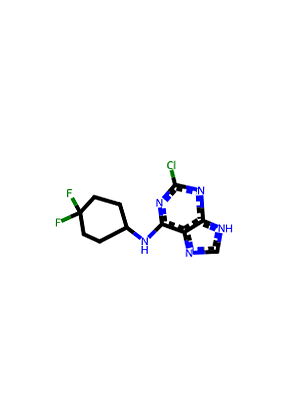 FC1(F)CCC(Nc2nc(Cl)nc3[nH]cnc23)CC1